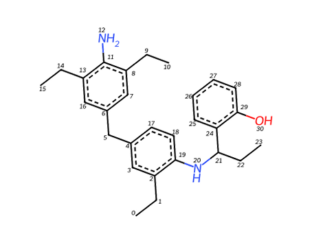 CCc1cc(Cc2cc(CC)c(N)c(CC)c2)ccc1NC(CC)c1ccccc1O